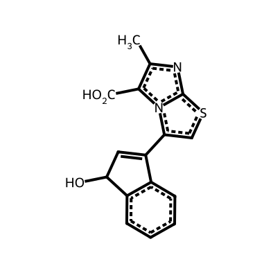 Cc1nc2scc(C3=CC(O)c4ccccc43)n2c1C(=O)O